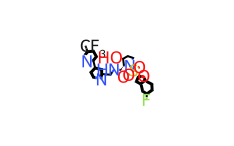 O=C(NCc1cc(-c2ccc(C(F)(F)F)cn2)ccn1)[C@@H]1[C@@H](O)CCN1S(=O)(=O)c1cc2cc(F)ccc2o1